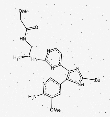 COCC(=O)NC[C@H](C)Nc1nccc(-c2nc(C(C)(C)C)[nH]c2-c2cnc(N)c(OC)c2)n1